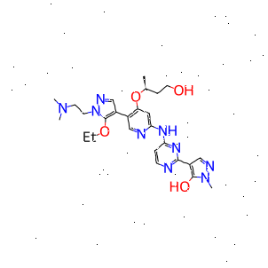 CCOc1c(-c2cnc(Nc3ccnc(-c4cnn(C)c4O)n3)cc2O[C@@H](C)CCO)cnn1CCN(C)C